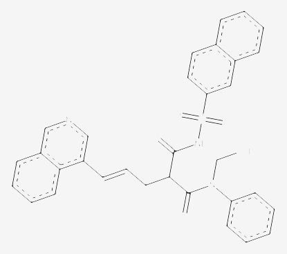 CCN(C(=O)C(C/C=C/c1cncc2ccccc12)C(=O)NS(=O)(=O)c1ccc2ccccc2c1)c1ccccc1